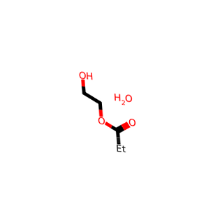 CCC(=O)OCCO.O